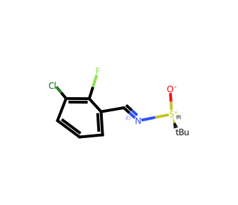 CC(C)(C)[S@+]([O-])/N=C/c1cccc(Cl)c1F